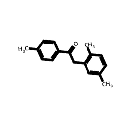 Cc1ccc(C(=O)Cc2cc(C)ccc2C)cc1